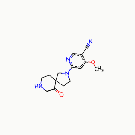 COc1cc(N2CCC3(CCNCC3=O)C2)ncc1C#N